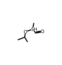 CC(C)O[SH](C)C=O